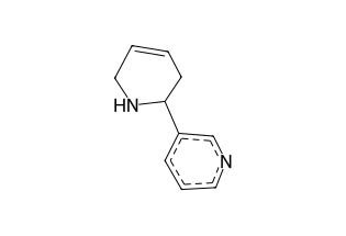 C1=CCC(c2cccnc2)NC1